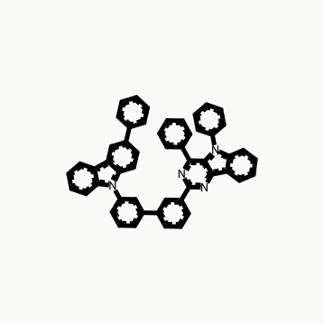 c1ccc(-c2ccc3c(c2)c2ccccc2n3-c2cccc(-c3cccc(-c4nc(-c5ccccc5)c5c(n4)c4ccccc4n5-c4ccccc4)c3)c2)cc1